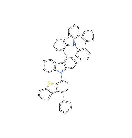 c1ccc(-c2ccccc2-n2c3ccccc3c3cccc(-c4cccc5c4c4ccccc4n5-c4ccc(-c5ccccc5)c5c4sc4ccccc45)c32)cc1